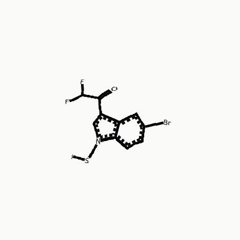 O=C(c1cn(SI)c2ccc(Br)cc12)C(F)F